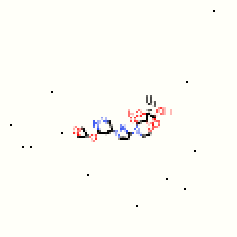 C[C@](O)(C(=O)O)[C@H]1OCCN(c2ccn(-c3cnnc(OC4COC4)c3)n2)C1=O